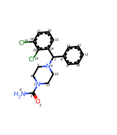 NC(=O)N1CCN(C(c2ccccc2)c2cccc(Cl)c2Cl)CC1